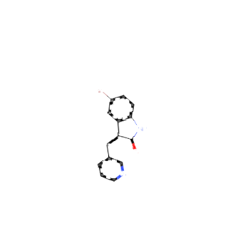 O=C1Nc2ccc(Br)cc2/C1=C/c1cccnc1